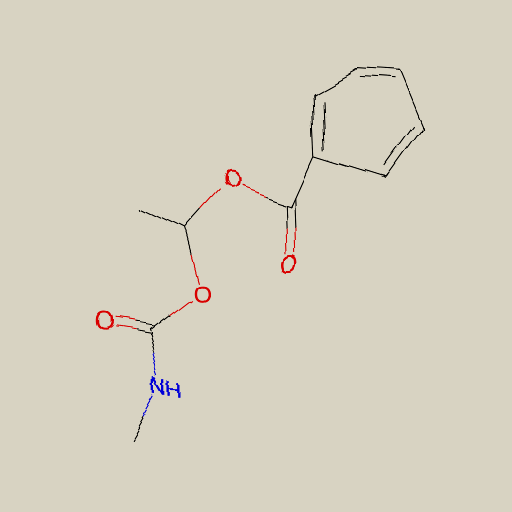 CNC(=O)OC(C)OC(=O)c1ccccc1